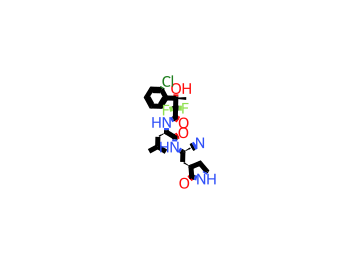 CC(C)C[C@H](NC(=O)C(F)(F)[C@@](C)(O)c1ccccc1Cl)C(=O)N[C@H](C#N)C[C@@H]1CCNC1=O